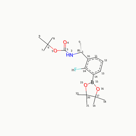 C[C@@H](NC(=O)OC(C)(C)C)c1cccc(B2OC(C)(C)C(C)(C)O2)c1F